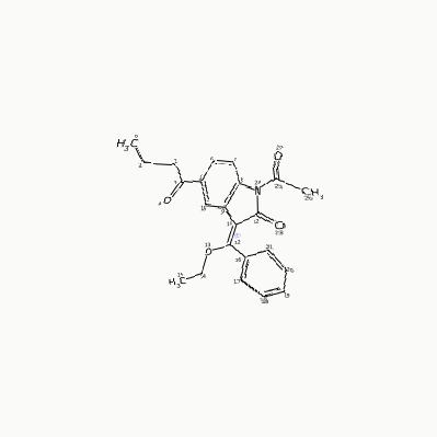 CCCC(=O)c1ccc2c(c1)/C(=C(\OCC)c1ccccc1)C(=O)N2C(C)=O